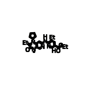 CCO[C@@H](O)c1cnc(Nc2cc3c(cn2)N(C)C(=O)[C@@H](CC)N3C2CCCC2)c(CC)c1